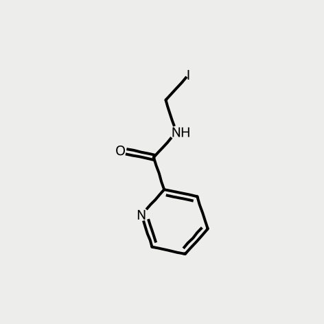 O=C(NCI)c1ccccn1